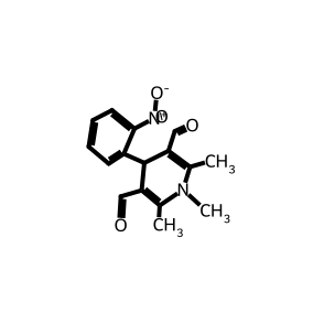 CC1=C(C=O)C(c2ccccc2[N+](=O)[O-])C(C=O)=C(C)N1C